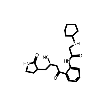 N#C[C@@H](CC(=O)c1ccccc1NC(=O)CNC1CCCCC1)CC1CCNC1=O